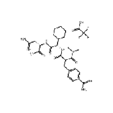 CN(C)C(=O)C(Cc1ccc(C(=N)N)cc1)C(=O)N[C@H](C(=O)N[C@@H](CC(=N)N)C(N)=O)C1CCCCC1.O=C(O)C(F)(F)F